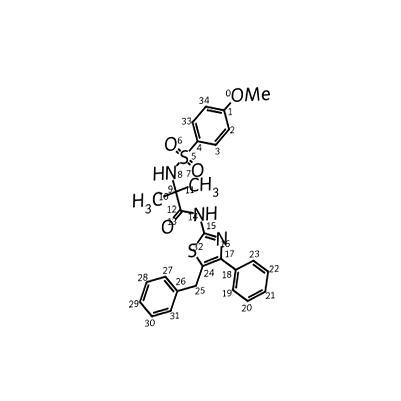 COc1ccc(S(=O)(=O)NC(C)(C)C(=O)Nc2nc(-c3ccccc3)c(Cc3ccccc3)s2)cc1